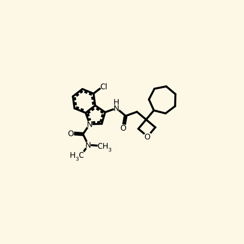 CN(C)C(=O)n1cc(NC(=O)CC2(C3CCCCCC3)COC2)c2c(Cl)cccc21